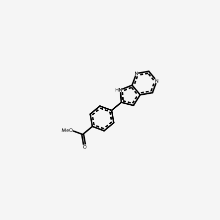 COC(=O)c1ccc(-c2cc3cncnc3[nH]2)cc1